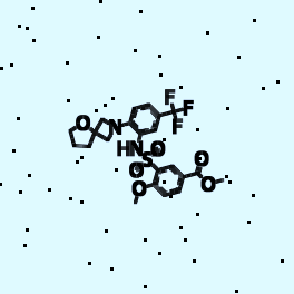 COC(=O)c1ccc(OC)c(S(=O)(=O)Nc2cc(C(F)(F)F)ccc2N2CC3(CCCO3)C2)c1